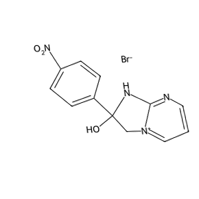 O=[N+]([O-])c1ccc(C2(O)C[n+]3cccnc3N2)cc1.[Br-]